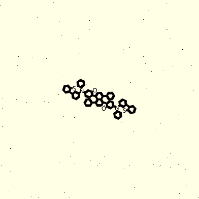 c1ccc(-c2cc3oc4cc(N(c5ccccc5)c5cccc6c5sc5ccccc56)ccc4c3c3c(-c4ccccc4)cc4oc5cc(N(c6ccccc6)c6cccc7c6sc6ccccc67)ccc5c4c23)cc1